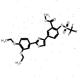 CCOc1ccc(-c2nc(-c3ccc(OS(=O)(=O)C(F)(F)F)c(C(=O)OC)c3)cs2)cc1OCC